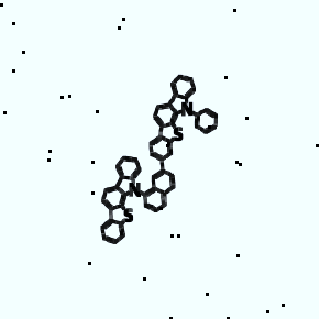 c1ccc(-n2c3ccccc3c3ccc4c5ccc(-c6ccc7cccc(-n8c9ccccc9c9ccc%10c%11ccccc%11sc%10c98)c7c6)cc5sc4c32)cc1